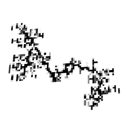 N=C(NCCCCc1ccc(-c2ncc(CCC(=O)NCCN(C[C@H](O)[C@@H](O)[C@H](O)[C@H](O)CO)C[C@H](O)[C@@H](O)[C@H](O)[C@H](O)CO)s2)cc1)NC(=O)c1nc(Cl)c(N)nc1N